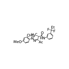 CCC(F)(F)c1cccc(NC(=O)C(C)/C(=N\N(C=O)c2ccc(OC)cc2)C(C)=O)c1